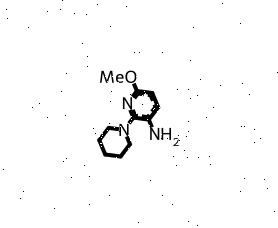 COc1ccc(N)c(N2CCCCC2)n1